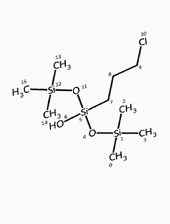 C[Si](C)(C)O[Si](O)(CCCCl)O[Si](C)(C)C